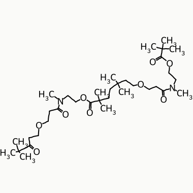 CN(CCOC(=O)C(C)(C)C)C(=O)CCOCCC(C)(C)CCC(C)(C)C(=O)OCCN(C)C(=O)CCOCCC(=O)C(C)(C)C